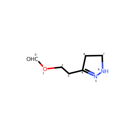 O=COCCC1=NNCC1